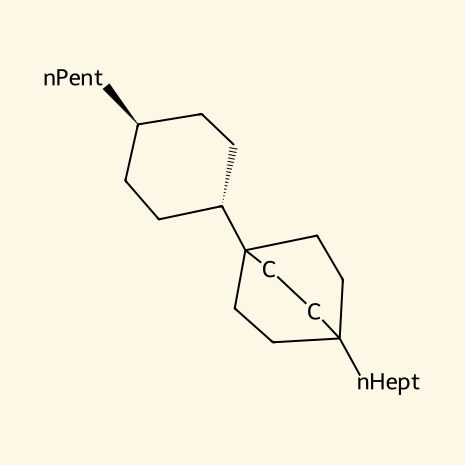 CCCCCCCC12CCC([C@H]3CC[C@H](CCCCC)CC3)(CC1)CC2